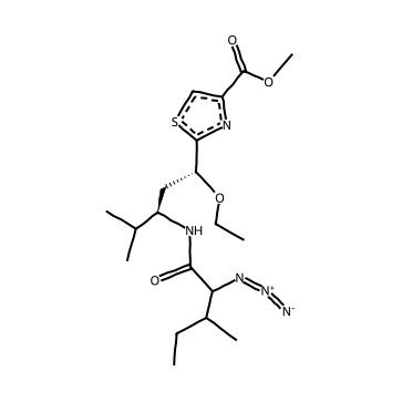 CCO[C@H](C[C@@H](NC(=O)C(N=[N+]=[N-])C(C)CC)C(C)C)c1nc(C(=O)OC)cs1